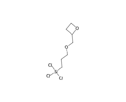 Cl[Si](Cl)(Cl)CCCOCC1CCO1